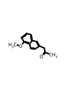 COc1cccc2cc(CC(C)=O)ccc12